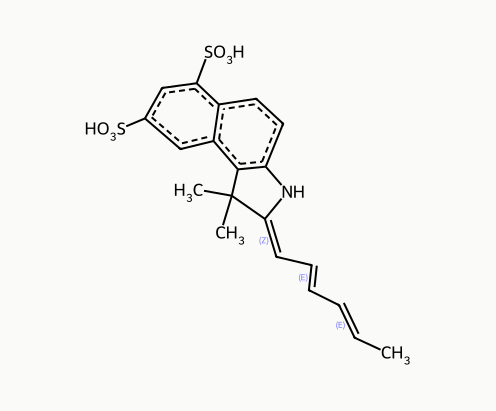 C/C=C/C=C/C=C1\Nc2ccc3c(S(=O)(=O)O)cc(S(=O)(=O)O)cc3c2C1(C)C